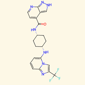 O=C(N[C@H]1CC[C@@H](Nc2cccc3nc(C(F)(F)F)cn23)CC1)c1ccnc2n[nH]cc12